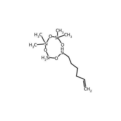 C=CCCCC[SiH]1O[SiH2]O[Si](C)(C)O[Si](C)(C)O1